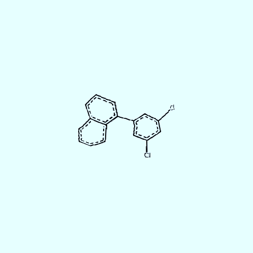 Clc1cc(Cl)cc(-c2cccc3ccccc23)c1